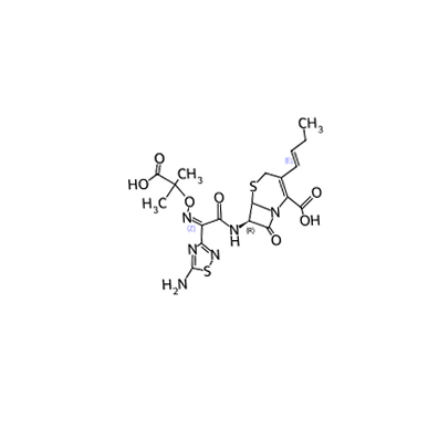 CC/C=C/C1=C(C(=O)O)N2C(=O)[C@@H](NC(=O)/C(=N\OC(C)(C)C(=O)O)c3nsc(N)n3)C2SC1